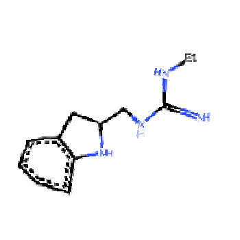 CCNC(=N)NCC1Cc2ccccc2N1